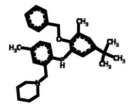 Cc1ccc(Pc2cc(C(C)(C)C)cc(C)c2OCc2ccccc2)c(CN2CCCCC2)c1